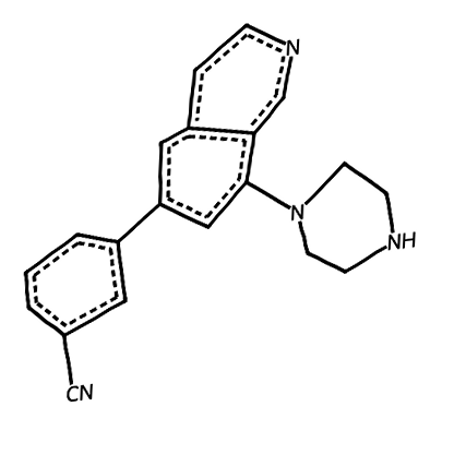 N#Cc1cccc(-c2cc(N3CCNCC3)c3cnccc3c2)c1